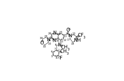 Cc1c(F)cccc1CN(C)c1cc(C(=O)N2CCNC(C(F)(F)F)C2)cc2ncc(N3CCOCC3)nc12